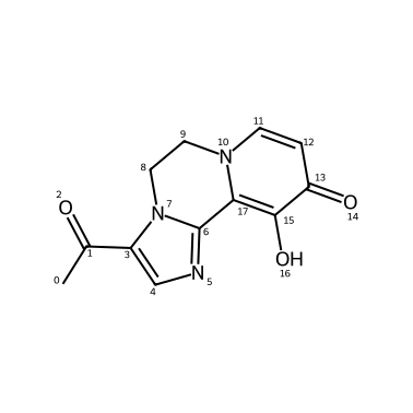 CC(=O)c1cnc2n1CCn1ccc(=O)c(O)c1-2